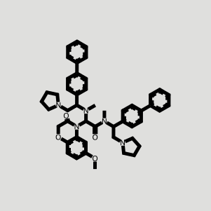 COc1ccc2c(c1)N(C(C(=O)N(C)C(CN1CCCC1)c1ccc(-c3ccccc3)cc1)N(C)C(CN1CCCC1)c1ccc(-c3ccccc3)cc1)C(=O)CO2